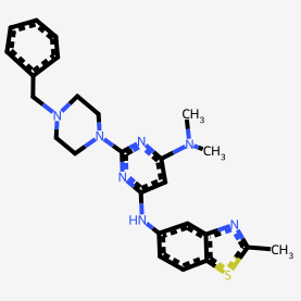 Cc1nc2cc(Nc3cc(N(C)C)nc(N4CCN(Cc5ccccc5)CC4)n3)ccc2s1